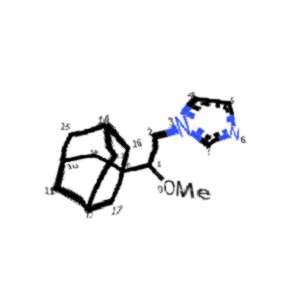 COC(Cn1ccnc1)C12CC3CC(CC(C3)C1)C2